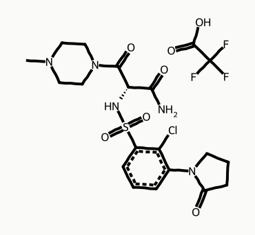 CN1CCN(C(=O)[C@@H](NS(=O)(=O)c2cccc(N3CCCC3=O)c2Cl)C(N)=O)CC1.O=C(O)C(F)(F)F